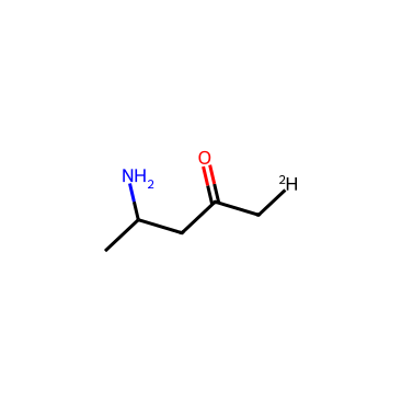 [2H]CC(=O)CC(C)N